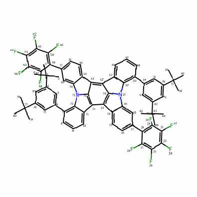 CC(C)(C)c1cc(-c2cccc3c4c5c6ccc(-c7c(F)c(F)c(F)c(F)c7F)cc6n6c7c(-c8cc(C(C)(C)C)cc(C(C)(C)C)c8)cccc7c(c7c8ccc(-c9c(F)c(F)c(F)c(F)c9F)cc8n(c23)c74)c56)cc(C(C)(C)C)c1